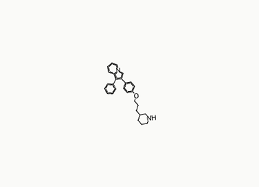 c1ccc(-c2c(-c3ccc(OCCCC4CCCNC4)cc3)cn3ccccc23)cc1